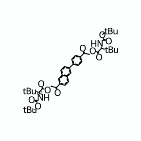 CC(C)(C)OC(=O)NC(C(=O)OCC(=O)c1ccc(-c2ccc3cc(C(=O)COC(=O)[C@@H](NC(=O)OC(C)(C)C)C(C)(C)C)ccc3c2)cc1)C(C)(C)C